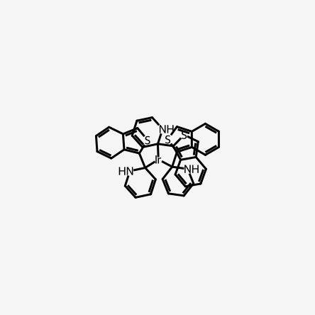 C1=CN[C](c2scc3ccccc23)([Ir]([C]2(c3scc4ccccc34)C=CC=CN2)[C]2(c3scc4ccccc34)C=CC=CN2)C=C1